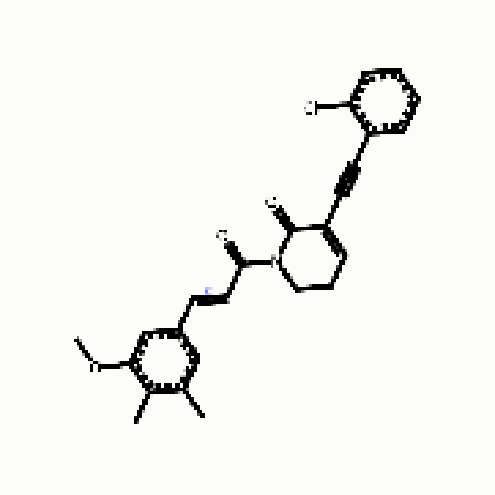 COc1cc(/C=C/C(=O)N2CCC=C(C#Cc3ccccc3Cl)C2=O)cc(C)c1C